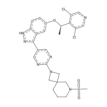 C[C@@H](Oc1ccc2[nH]nc(-c3cnc(N4CC5(CCCN(S(C)(=O)=O)C5)C4)nc3)c2c1)c1c(Cl)cncc1Cl